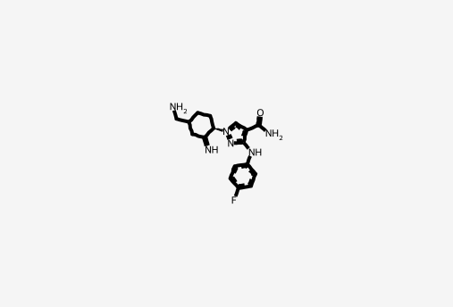 N=C1CC(CN)CC[C@H]1n1cc(C(N)=O)c(Nc2ccc(F)cc2)n1